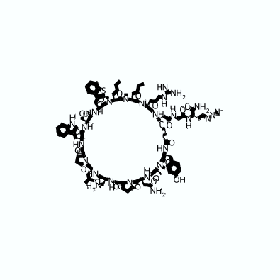 CCCC[C@H]1C(=O)N(C)[C@@H](CCCC)C(=O)N[C@@H](CCCNC(=N)N)C(=O)N[C@H](CC(=O)NCC(=O)N[C@@H](CCN=[N+]=[N-])C(N)=O)CSCC(=O)N[C@@H](Cc2ccc(O)cc2)C(=O)N(C)[C@@H](C)C(=O)N[C@@H](CC(N)=O)C(=O)N2CCC[C@H]2C(=O)N[C@@H](CN)C(=O)N[C@@H](CC(C)C)C(=O)N2CCC[C@H]2C(=O)N[C@@H](Cc2c[nH]c3ccccc23)C(=O)N[C@@H](CO)C(=O)N[C@@H](Cc2csc3ccccc23)C(=O)N1C